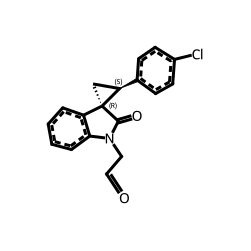 O=CCN1C(=O)[C@@]2(C[C@H]2c2ccc(Cl)cc2)c2ccccc21